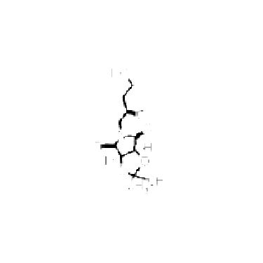 CC1(C)O[C@@H]2C(=O)N(CC(=O)CCO)C(=O)[C@@H]2O1